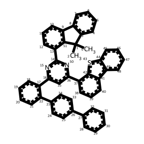 CC1(C)c2ccccc2-c2cccc(-c3nc(-c4ccccc4-c4ccc(-c5ccccc5)cc4)cc(-c4cccc5c4sc4ccccc45)n3)c21